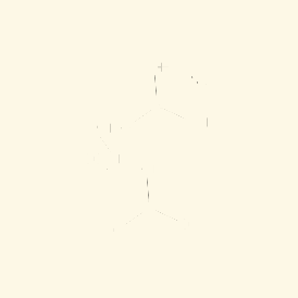 O=C([O-])O.OB(O)O.OB(O)O.[Na+]